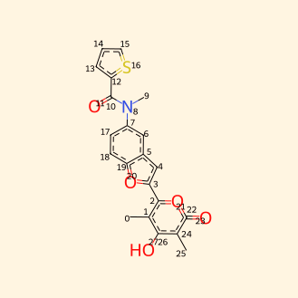 Cc1c(-c2cc3cc(N(C)C(=O)c4cccs4)ccc3o2)oc(=O)c(C)c1O